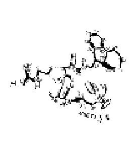 CCC(C)C(NC(=O)[C@H](CCCNC(=N)N)NC(=O)OCC1c2ccccc2-c2ccccc21)C(=O)N[C@H](/C=C/S(C)(=O)=O)CC(=O)O